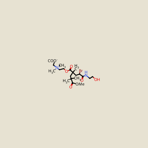 COC(=O)C(C)(C)CC(C)(CC(Br)C(=O)NCCO)C(=O)OCC[N+](C)(C)CC(=O)[O-]